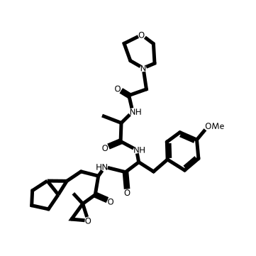 COc1ccc(CC(NC(=O)C(C)NC(=O)CN2CCOCC2)C(=O)NC(CC2C3CCCC32)C(=O)C2(C)CO2)cc1